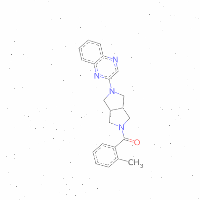 Cc1ccccc1C(=O)N1CC2CN(c3cnc4ccccc4n3)CC2C1